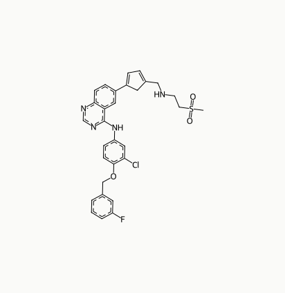 CS(=O)(=O)CCNCC1=CC=C(c2ccc3ncnc(Nc4ccc(OCc5cccc(F)c5)c(Cl)c4)c3c2)C1